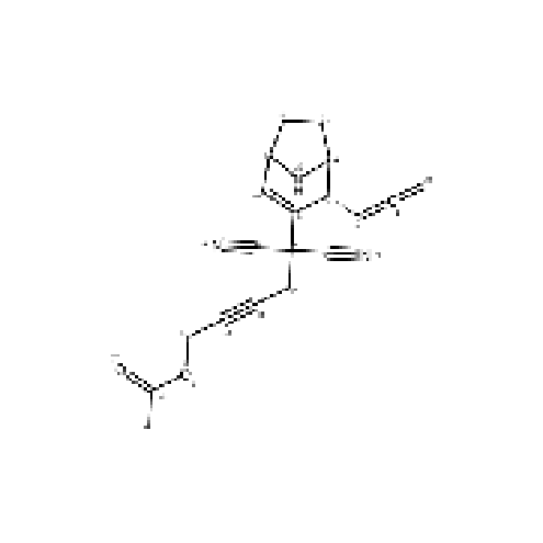 C=C=C[C@@H]1C(C(C#N)(C#N)CC#CCOC(C)=O)=CC2CCC1N2